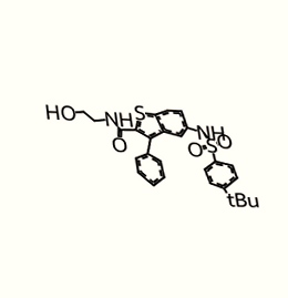 CC(C)(C)c1ccc(S(=O)(=O)Nc2ccc3sc(C(=O)NCCO)c(-c4ccccc4)c3c2)cc1